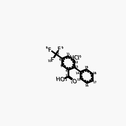 Cl.O=C(O)c1cc(C(F)(F)F)ccc1-c1ccccc1